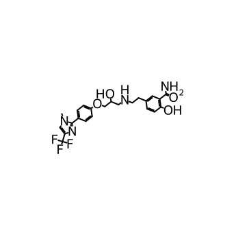 Cn1cc(C(F)(F)F)nc1-c1ccc(OCC(O)CNCCc2ccc(O)c(C(N)=O)c2)cc1